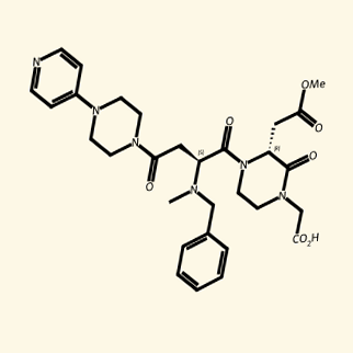 COC(=O)C[C@@H]1C(=O)N(CC(=O)O)CCN1C(=O)[C@H](CC(=O)N1CCN(c2ccncc2)CC1)N(C)Cc1ccccc1